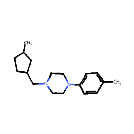 Cc1ccc(N2CCN(CC3CCC(C)C3)CC2)cc1